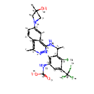 Cc1nnc(NC(C)c2cc(NC(=O)O)cc(C(F)(F)F)c2F)c2cc(N3CC(C)(O)C3)ccc12